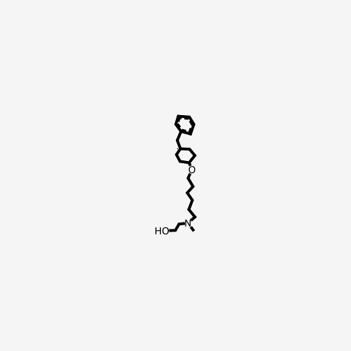 CN(CCO)CCCCCCOC1CC[C](Cc2ccccc2)CC1